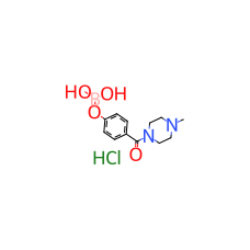 CN1CCN(C(=O)c2ccc(OB(O)O)cc2)CC1.Cl